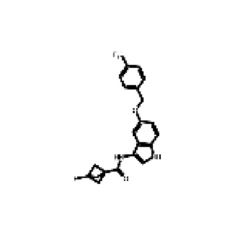 O=C(Nc1c[nH]c2ccc(OCc3ccc(C(F)(F)F)cc3)cc12)C12CC(F)(C1)C2